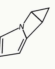 c1cc2n(c1)C1CC21